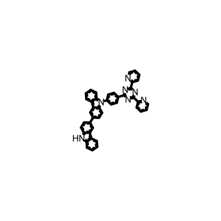 c1ccc(-c2nc(-c3ccc(-n4c5ccccc5c5cc(-c6ccc7[nH]c8ccccc8c7c6)ccc54)cc3)nc(-c3ccccn3)n2)nc1